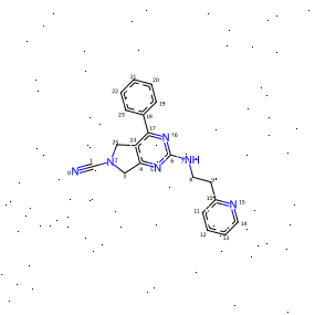 N#CN1Cc2nc(NCCc3ccccn3)nc(-c3ccccc3)c2C1